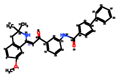 COc1ccc2c(c1)/C(=C/C(=O)c1cccc(NC(=O)c3ccc(-c4ccccc4)cc3)c1)NC(C)(C)C2